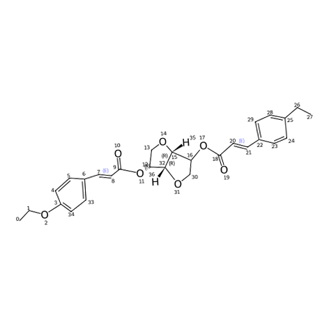 CCOc1ccc(/C=C/C(=O)O[C@@H]2CO[C@@H]3C(OC(=O)/C=C/c4ccc(CC)cc4)CO[C@@H]32)cc1